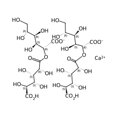 O=C(O)[C@@H](O)[C@@H](O)[C@H](O)[C@@H](O)C(=O)O[C@@H](C(=O)[O-])[C@@H](O)[C@H](O)[C@H](O)CO.O=C(O)[C@@H](O)[C@@H](O)[C@H](O)[C@@H](O)C(=O)O[C@@H](C(=O)[O-])[C@@H](O)[C@H](O)[C@H](O)CO.[Ca+2]